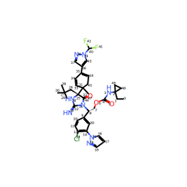 CCC1(NC(=O)OC[C@H](c2ccc(Cl)c(-n3cccn3)c2)N2C(=N)N[C@](CC(C)(C)C)(C3(C)C=CC(c4cnn(C(F)F)c4)=CC3)C2=O)CC1